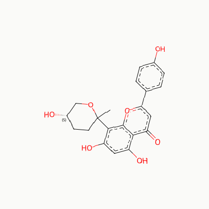 CC1(c2c(O)cc(O)c3c(=O)cc(-c4ccc(O)cc4)oc23)CC[C@H](O)CO1